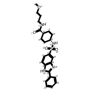 COCCCNC(=O)[C@H]1CC[C@H](NS(=O)(=O)c2ccc3[nH]c(-c4ccccc4)nc3c2)CC1